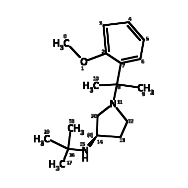 COc1ccccc1C(C)(C)N1CC[C@@H](NC(C)(C)C)C1